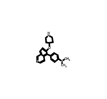 CN(C)c1ccc(-c2c(OC3CCNCC3)ccc3cnccc23)cc1